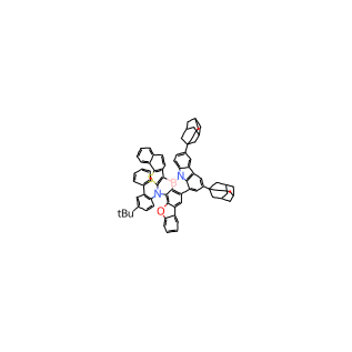 CC(C)(C)c1ccc(N2c3sc4c(ccc5ccccc54)c3B3c4c(cc5c(oc6ccccc65)c42)-c2cc(C45CC6CC(CC(C6)C4)C5)cc4c5cc(C67CC8CC(CC(C8)C6)C7)ccc5n3c24)c(-c2ccccc2)c1